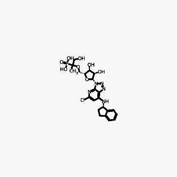 CC(CO)(OC[C@H]1O[C@@H](n2nnc3c(N[C@@H]4CCc5ccccc54)cc(Cl)nc32)[C@H](O)[C@@H]1O)P(=O)(O)O